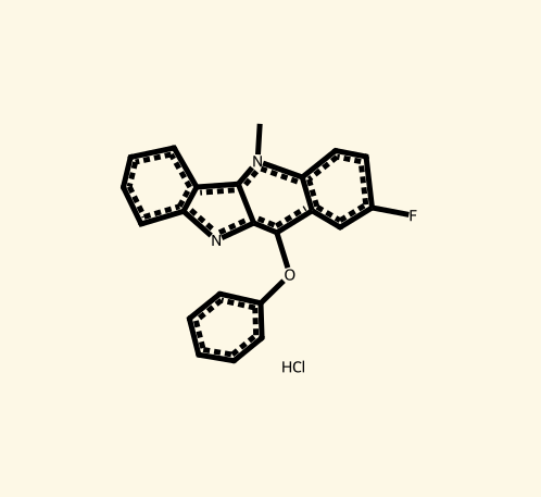 Cl.Cn1c2c3ccccc3nc-2c(Oc2ccccc2)c2cc(F)ccc21